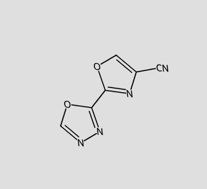 N#Cc1coc(-c2nnco2)n1